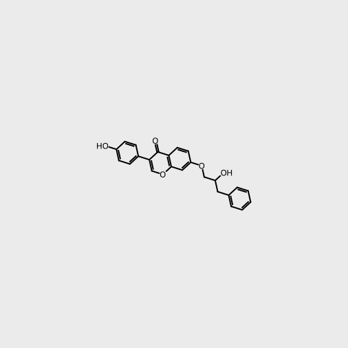 O=c1c(-c2ccc(O)cc2)coc2cc(OCC(O)Cc3ccccc3)ccc12